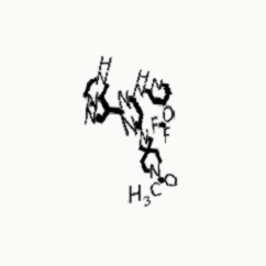 CC(=O)N1CCC2(CC1)CN(c1cc(Nc3cc(OC(F)F)ccn3)nc(-c3cnn4c3CNCC4)n1)C2